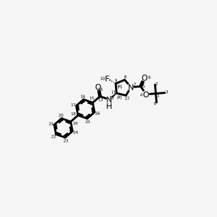 CC(C)(C)OC(=O)N1C[C@@H](F)[C@H](NC(=O)c2ccc(-c3ccccc3)cc2)C1